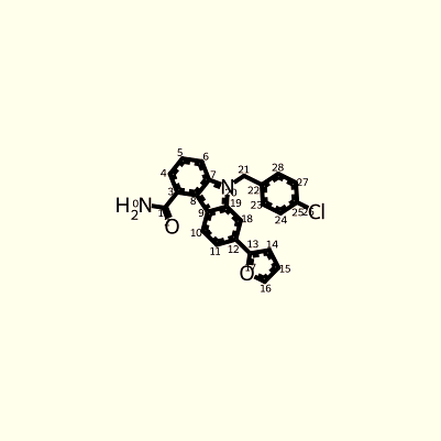 NC(=O)c1cccc2c1c1[c]cc(-c3ccco3)cc1n2Cc1ccc(Cl)cc1